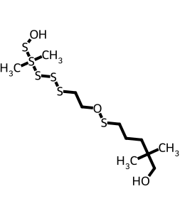 CC(C)(CO)CCCSOCCSSSS(C)(C)SO